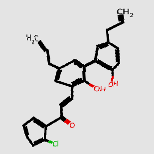 C=CCc1ccc(O)c(-c2cc(CC=C)cc(C=CC(=O)c3ccccc3Cl)c2O)c1